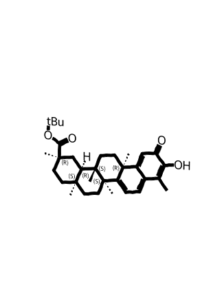 CC1=C(O)C(=O)C=C2C1=CC=C1[C@@]2(C)CC[C@@]2(C)[C@@H]3C[C@](C)(C(=O)OC(C)(C)C)CC[C@]3(C)CC[C@]12C